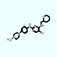 CN1CCN(c2ccc(Nc3ncc(Cl)c(NCC4CCCCO4)n3)cc2)CC1